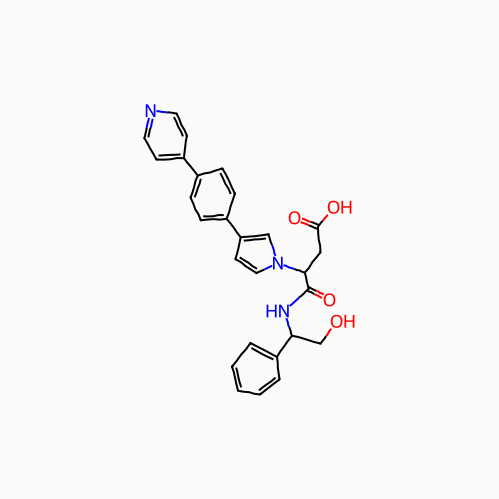 O=C(O)CC(C(=O)NC(CO)c1ccccc1)n1ccc(-c2ccc(-c3ccncc3)cc2)c1